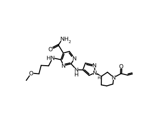 C=CC(=O)N1CCC[C@@H](n2cc(Nc3ncc(C(N)=O)c(NCCCOC)n3)cn2)C1